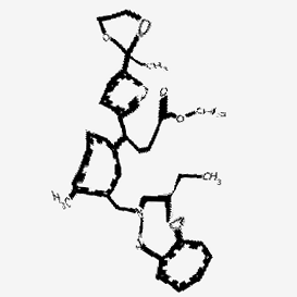 CC[C@@H]1CN(Cc2cc(C(CC(=O)OC)c3ccc(C4(C)OCCO4)s3)ccc2C)Sc2ccccc2O1